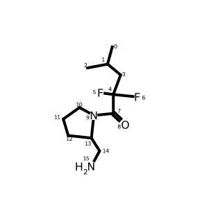 CC(C)CC(F)(F)C(=O)N1CCCC1CN